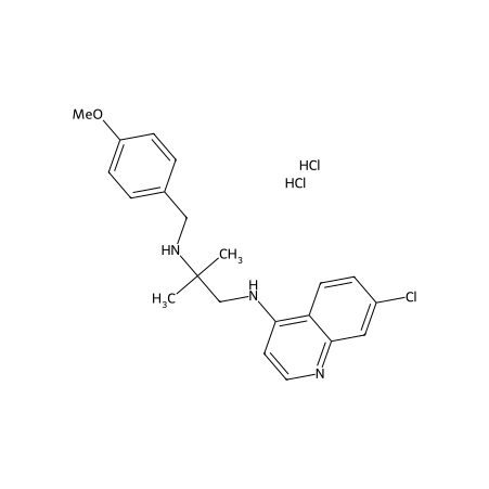 COc1ccc(CNC(C)(C)CNc2ccnc3cc(Cl)ccc23)cc1.Cl.Cl